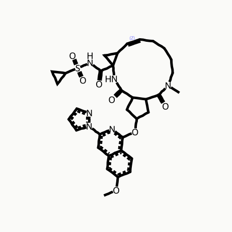 COc1ccc2c(OC3CC4C(=O)NC5(C(=O)NS(=O)(=O)C6CC6)CC5/C=C\CCCCN(C)C(=O)C4C3)nc(-n3cccn3)cc2c1